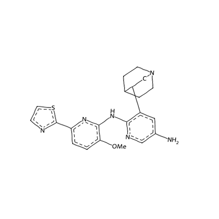 COc1ccc(-c2nccs2)nc1Nc1ncc(N)cc1C1CN2CCC1CC2